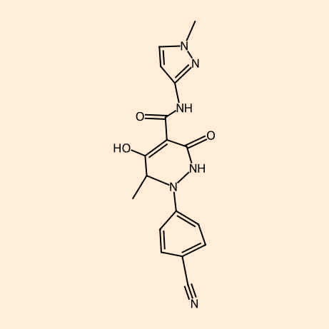 CC1C(O)=C(C(=O)Nc2ccn(C)n2)C(=O)NN1c1ccc(C#N)cc1